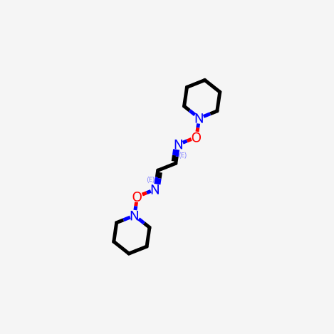 C(/C=N/ON1CCCCC1)=N\ON1CCCCC1